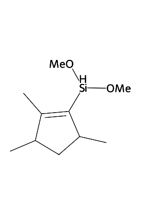 CO[SiH](OC)C1=C(C)C(C)CC1C